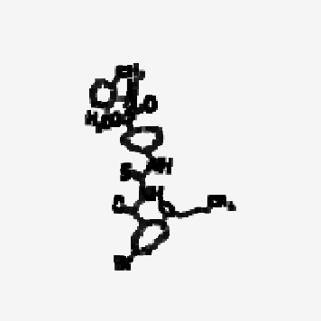 CCCCOc1ccc(Br)cc1C(=O)NC(=S)Nc1ccc(S(=O)(=O)Nc2c(C)cccc2C)cc1